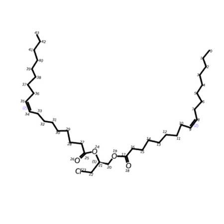 CCCCCCCC/C=C\CCCCCCCC(=O)OC[C@@H](CCl)OC(=O)CCCCCCC/C=C\CCCCCCCC